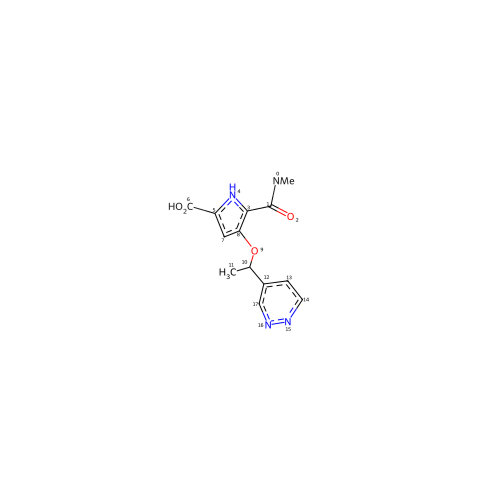 CNC(=O)c1[nH]c(C(=O)O)cc1OC(C)c1ccnnc1